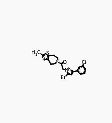 CCc1cc(-c2cccc(Cl)c2)nn1CC(=O)N1CCc2nc(C)sc2CC1